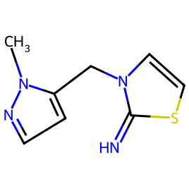 Cn1nccc1Cn1ccsc1=N